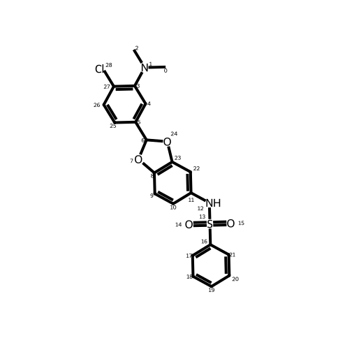 CN(C)c1cc(C2Oc3ccc(NS(=O)(=O)c4ccccc4)cc3O2)ccc1Cl